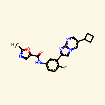 Cc1ncc(C(=O)Nc2ccc(F)c(-c3cn4cc(C5CCC5)cnc4n3)c2)o1